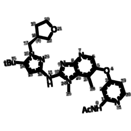 CC(=O)Nc1cc(Oc2cnc3nc(Nc4cc(C(C)(C)C)n(C[C@H]5CCOC5)n4)n(C)c3c2C)ccn1